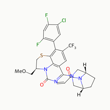 C=CC(=O)N1[C@@H]2CC[C@H]1CN(c1nc(=O)n3c4c(c(-c5cc(Cl)c(F)cc5F)c(C(F)(F)F)cc14)SC[C@@H]3COC)C2